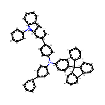 c1ccc(-c2ccc(N(c3ccc(-c4ccc5c6ccccc6n(-c6ccccc6)c5c4)cc3)c3ccc(C4(c5ccccc5)c5ccccc5-c5ccccc54)cc3)cc2)cc1